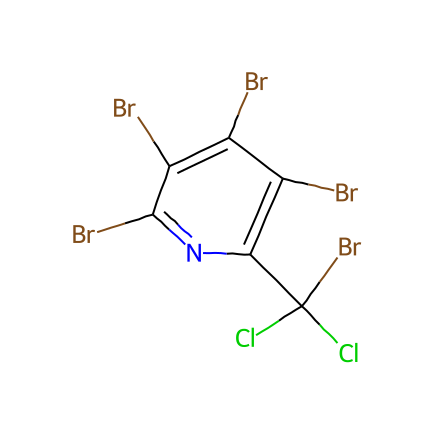 ClC(Cl)(Br)c1nc(Br)c(Br)c(Br)c1Br